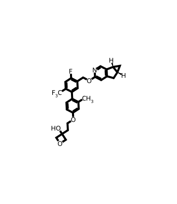 Cc1cc(OCCC2(O)COC2)ccc1-c1cc(COc2cc3c(cn2)[C@@H]2C[C@@H]2C3)c(F)cc1C(F)(F)F